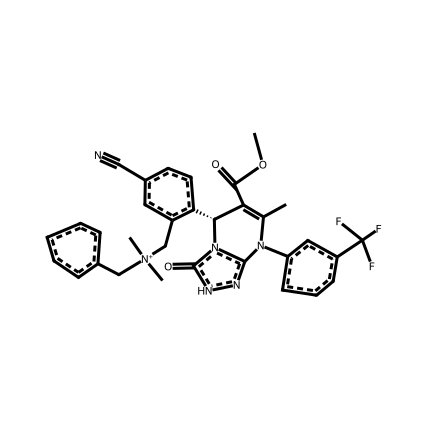 COC(=O)C1=C(C)N(c2cccc(C(F)(F)F)c2)c2n[nH]c(=O)n2[C@@H]1c1ccc(C#N)cc1C[N+](C)(C)Cc1ccccc1